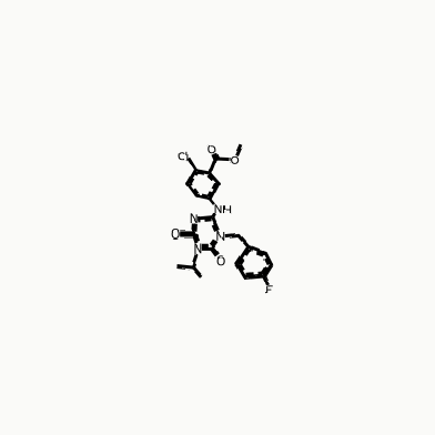 COC(=O)c1cc(Nc2nc(=O)n(C(C)C)c(=O)n2Cc2ccc(F)cc2)ccc1Cl